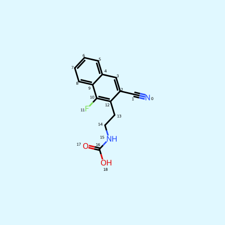 N#Cc1cc2ccccc2c(F)c1CCNC(=O)O